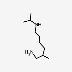 CC(CN)CCCCNC(C)C